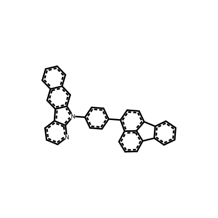 c1ccc2c(c1)-c1cccc3c(-c4ccc(-n5c6cc7ccccc7cc6c6cccnc65)cc4)ccc-2c13